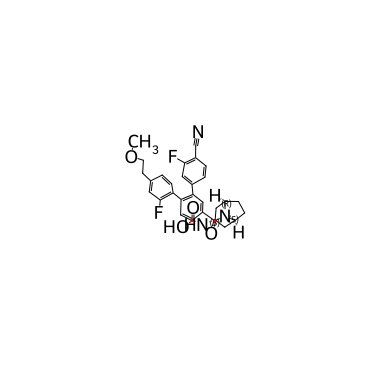 COCCc1ccc(-c2ccc(C(=O)N3[C@@H]4CC[C@H]3C[C@H](NC(=O)O)C4)cc2-c2ccc(C#N)c(F)c2)c(F)c1